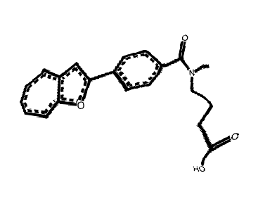 CN(CCCC(=O)O)C(=O)c1ccc(-c2cc3ccccc3o2)cc1